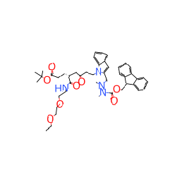 CCOCCOCCNC(=O)[C@H](CCC(=O)OC(C)(C)C)CC(=O)CCn1c(CN(C)N(C)C(=O)OCC2c3ccccc3-c3ccccc32)cc2ccccc21